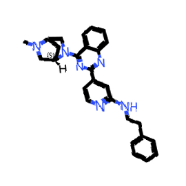 CN1C[C@@H]2CC1CN2c1nc(-c2ccnc(NCCc3ccccc3)c2)nc2ccccc12